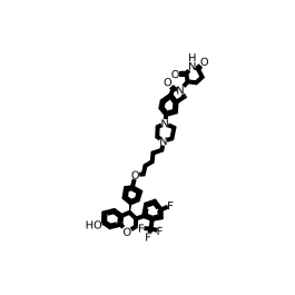 O=C1CCC(N2Cc3cc(N4CCN(CCCCCOc5ccc([C@@H]6c7ccc(O)cc7OCC6c6ccc(F)cc6C(F)(F)F)cc5)CC4)ccc3C2=O)C(=O)N1